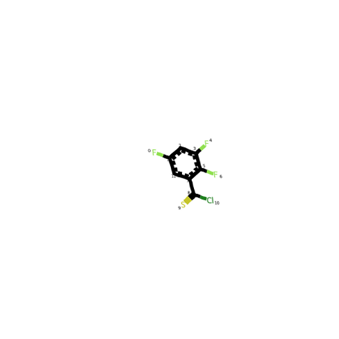 Fc1cc(F)c(F)c(C(=S)Cl)c1